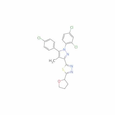 Cc1c(-c2nnc(C3CCCO3)s2)nn(-c2ccc(Cl)cc2Cl)c1-c1ccc(Cl)cc1